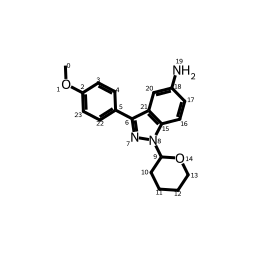 COc1ccc(-c2nn(C3CCCCO3)c3ccc(N)cc23)cc1